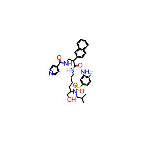 CC(C)CN(C(CO)CCCCNC(=O)C(CNC(=O)c1ccncc1)c1ccc2ccccc2c1)S(=O)(=O)c1ccc(F)c(N)c1